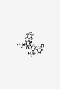 NCC1(c2cccc(Cl)c2)CCC(n2nc(-c3ccccc3)cc(N)c2=O)CC1